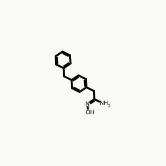 NC(Cc1ccc(Cc2ccccc2)cc1)=NO